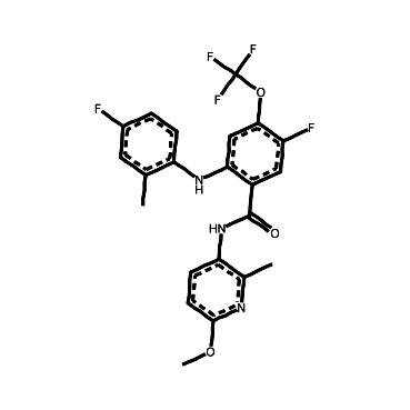 COc1ccc(NC(=O)c2cc(F)c(OC(F)(F)F)cc2Nc2ccc(F)cc2C)c(C)n1